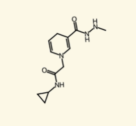 CNNC(=O)C1=CN(CC(=O)NC2CC2)C=CC1